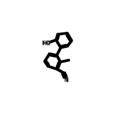 Cc1c(C#N)cccc1-c1ccccc1O